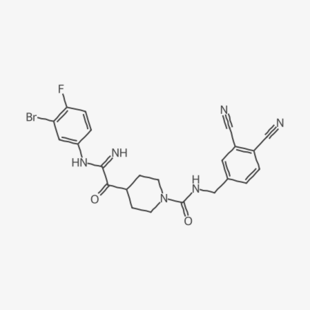 N#Cc1ccc(CNC(=O)N2CCC(C(=O)C(=N)Nc3ccc(F)c(Br)c3)CC2)cc1C#N